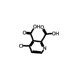 O=C(O)c1nccc(Cl)c1C(=O)O